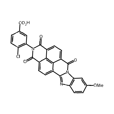 COc1ccc2nc3c4ccc5c6c(ccc(c(=O)n3c2c1)c64)C(=O)N(c1cc(C(=O)O)ccc1Cl)C5=O